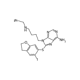 CC(C)CNCCCCn1c(Sc2cc3c(cc2I)CCO3)nc2c(N)ncnc21